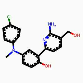 CN(c1ccc(Cl)cc1)c1ccc(O)c(-c2ccc(CO)c(N)n2)c1